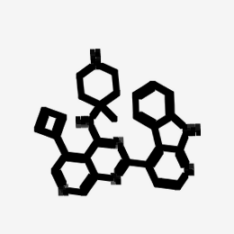 CC1(Nc2nc(-c3ccnc4[nH]c5ccccc5c34)nc3cncc(C4=CC=C4)c23)CCNCC1